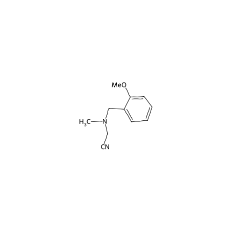 COc1ccccc1CN(C)CC#N